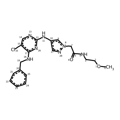 COCCNC(=O)Cn1cc(Nc2ncc(Cl)c(NCc3ccccc3)n2)cn1